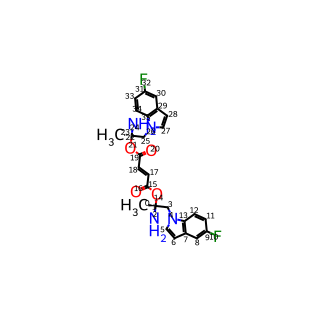 C[C@](N)(Cn1ccc2cc(F)ccc21)OC(=O)/C=C/C(=O)O[C@@](C)(N)Cn1ccc2cc(F)ccc21